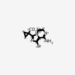 CCOC(=O)C1(c2nc(Br)c3c(N)nccn23)CC1